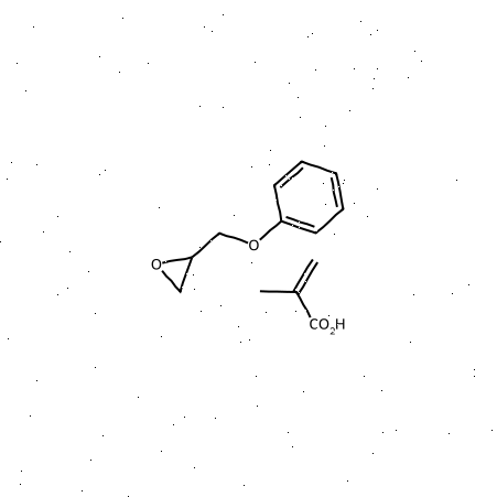 C=C(C)C(=O)O.c1ccc(OCC2CO2)cc1